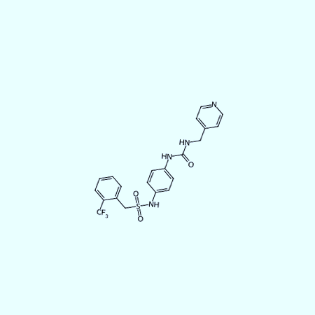 O=C(NCc1ccncc1)Nc1ccc(NS(=O)(=O)Cc2ccccc2C(F)(F)F)cc1